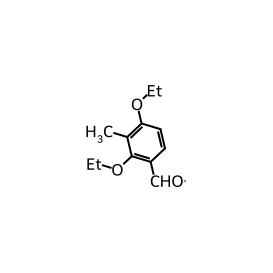 CCOc1ccc([C]=O)c(OCC)c1C